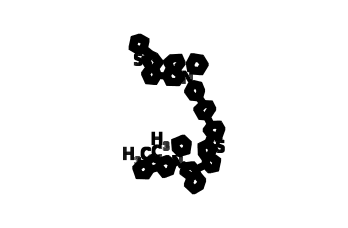 CC1(C)c2ccccc2-c2ccc(N(c3ccccc3)c3cc(-c4cccc5c4ccc4c6cc(-c7ccc(-c8ccc(N(c9ccccc9)c9ccc(-c%10cccc%11c%10ccc%10c%12ccccc%12sc%11%10)c%10ccccc9%10)cc8)cc7)ccc6sc54)c4ccccc4c3)cc21